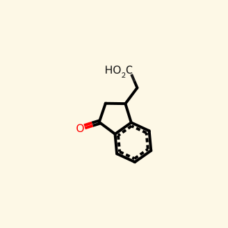 O=C(O)CC1CC(=O)c2ccccc21